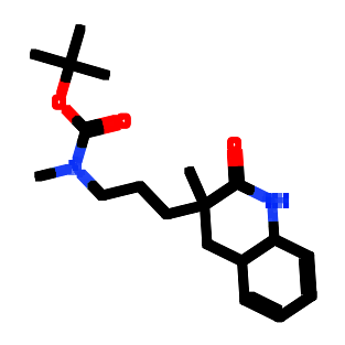 CN(CCCC1(C)CC2C=CC=CC2NC1=O)C(=O)OC(C)(C)C